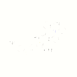 C=C(/C=C\c1sc2cc3c(cc2c1C)sc1ccc(C#N)cc13)c1cccc(C#N)c1-n1c2ccccc2c2ccccc21